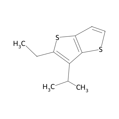 CCc1sc2ccsc2c1C(C)C